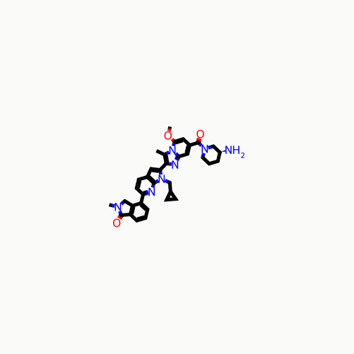 COc1cc(C(=O)N2CCC[C@@H](N)C2)cc2nc(-c3cc4ccc(-c5cccc6c5CN(C)C6=O)nc4n3CC3CC3)c(C)n12